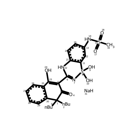 CCCCC1(CCCC)C(=O)C(C2=NS(O)(O)c3cc(NS(C)(=O)=O)ccc3N2)=C(O)c2ccccc21.[NaH]